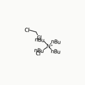 CCCC[N+](CCCC)(CCCC)CCCC.ClCCl.[Cl-]